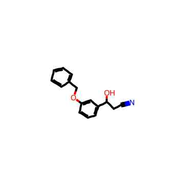 N#CCC(O)c1cccc(OCc2ccccc2)c1